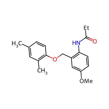 CCC(=O)Nc1ccc(OC)cc1COc1ccc(C)cc1C